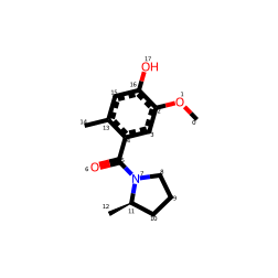 COc1cc(C(=O)N2CCC[C@H]2C)c(C)cc1O